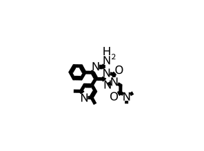 Cc1cc(-c2c(-c3ccccc3)nc(N)n3c(=O)n(CC(=O)N(C)C)nc23)cc(C)n1